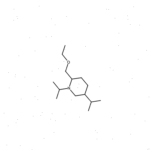 CCOCC1CCC(C(C)C)CN1C(C)C